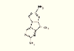 Cn1c2cc(N)ccc2c2cnc(N)nc21